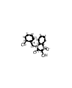 O=c1c(O)[n+]([O-])c2ccccc2n1Cc1ccccc1Cl